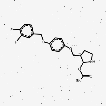 CC(C)(C)C(=O)OC1NCC[C@@H]1COc1ccc(OCc2ccc(F)c(F)c2)cc1